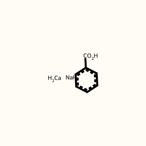 O=C(O)c1ccccc1.[CaH2].[NaH]